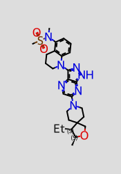 CC[C@@H]1[C@H](C)OCC12CCN(c1cnc3c(N4CCCc5c4cccc5N(C)S(C)(=O)=O)n[nH]c3n1)CC2